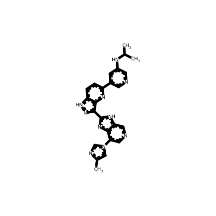 Cc1cn(-c2cncc3[nH]c(-c4n[nH]c5ccc(-c6cncc(NC(C)C)c6)nc45)nc23)cn1